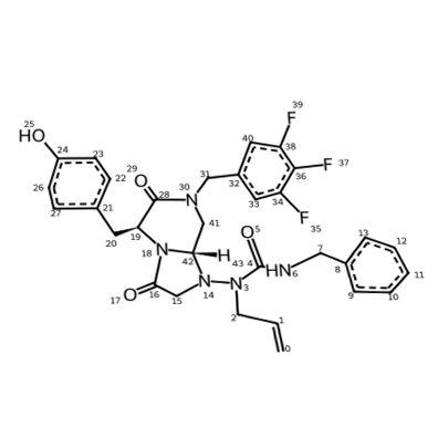 C=CCN(C(=O)NCc1ccccc1)N1CC(=O)N2[C@@H](Cc3ccc(O)cc3)C(=O)N(Cc3cc(F)c(F)c(F)c3)C[C@@H]21